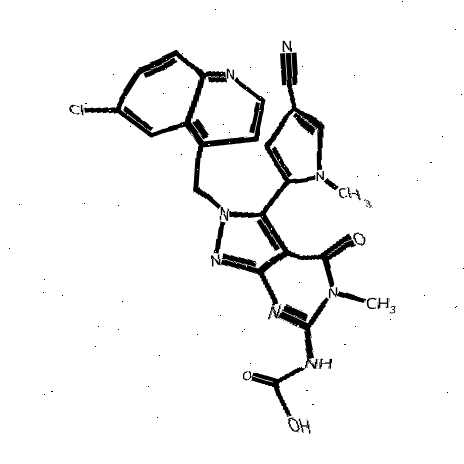 Cn1cc(C#N)cc1-c1c2c(=O)n(C)c(NC(=O)O)nc2nn1Cc1ccnc2ccc(Cl)cc12